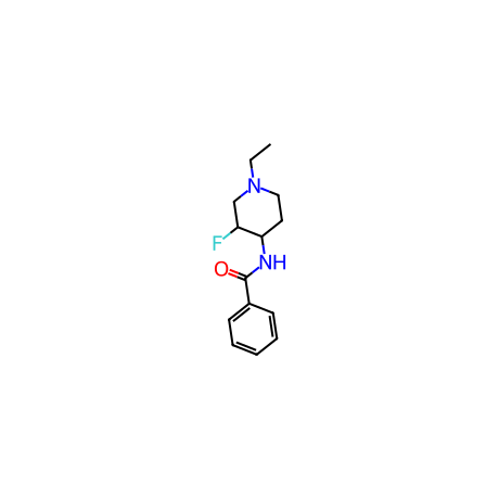 CCN1CCC(NC(=O)c2ccccc2)C(F)C1